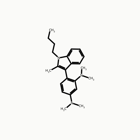 CCCCn1c(C)c(-c2ccc(N(C)C)cc2N(C)C)c2ccccc21